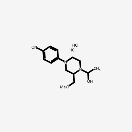 COCC1CN(c2ccc(N=O)cc2)CCN1C(C)O.Cl.Cl